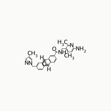 Cc1cnn(Cc2ccc3c(c2)[C@H]2O[C@@H]3c3ccc(C(=O)NCc4c(C)cc(N)nc4C)cc32)c1